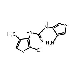 Cc1csc(Cl)c1NC(=S)Nc1cscc1N